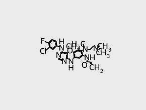 C=CC(=O)Nc1cc(Nc2cc(Nc3ccc(F)c(Cl)c3)ncn2)c(OC)cc1N(C)CCN(C)C